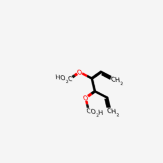 C=CC(OC(=O)O)C(C=C)OC(=O)O